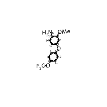 COc1cc(Oc2ccc(OC(F)(F)F)cc2)ccc1N